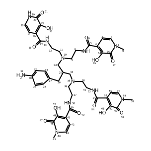 Cn1ccc(C(=O)NCCN(CCNC(=O)c2cc[nH]c(=O)c2O)CC(Cc2ccc(N)cc2)CN(CCNC(=O)c2ccn(C)c(=O)c2O)CCNC(=O)c2ccn(C)c(=O)c2O)c(O)c1=O